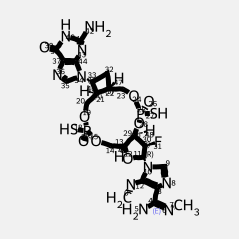 C=Nc1c(/C(N)=N\C)ncn1[C@@H]1O[C@@H]2COP(=O)(S)OC[C@@H]3[C@@H](COP(=O)(S)O[C@H]2[C@H]1F)C[C@H]3n1cnc2c(=O)[nH]c(N)nc21